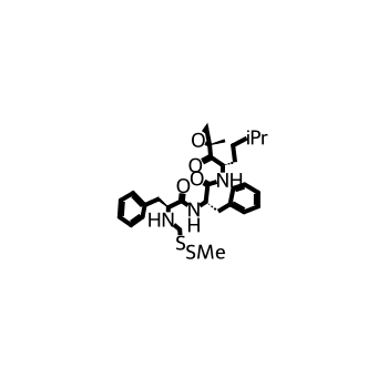 CSSCN[C@@H](Cc1ccccc1)C(=O)N[C@@H](Cc1ccccc1)C(=O)N[C@@H](CCC(C)C)C(=O)[C@@]1(C)CO1